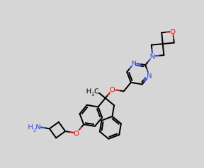 CC(Cc1ccccc1)(OCc1cnc(N2CC3(COC3)C2)nc1)c1ccc(OC2CC(N)C2)cc1